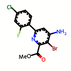 COC(=O)c1nc(-c2ccc(Cl)cc2F)cc(N)c1Br